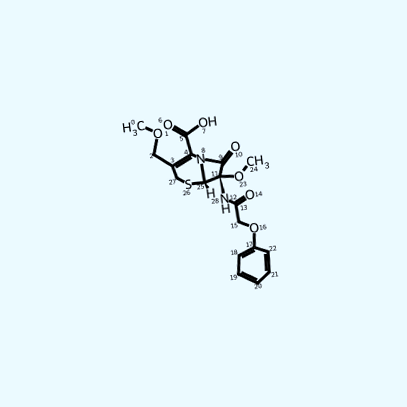 COCC1=C(C(=O)O)N2C(=O)[C@](NC(=O)COc3ccccc3)(OC)[C@@H]2SC1